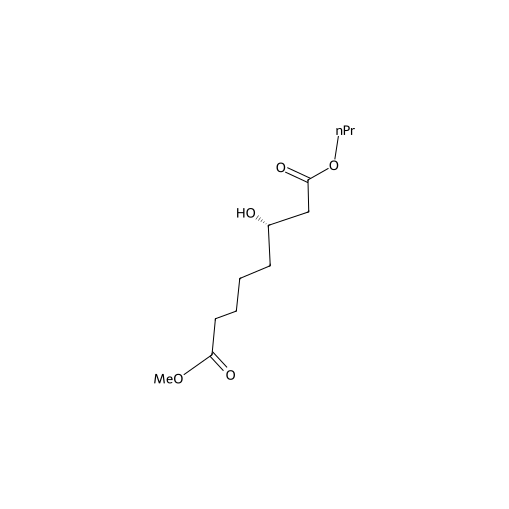 CCCOC(=O)C[C@@H](O)CCCCC(=O)OC